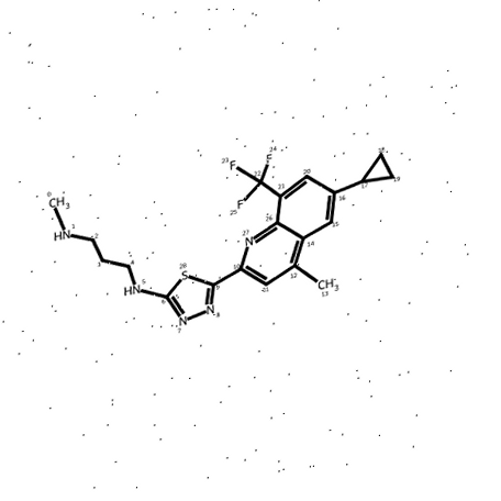 CNCCCNc1nnc(-c2cc(C)c3cc(C4CC4)cc(C(F)(F)F)c3n2)s1